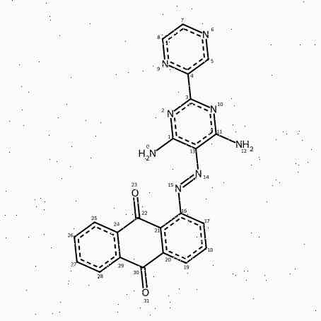 Nc1nc(-c2cnccn2)nc(N)c1/N=N/c1cccc2c1C(=O)c1ccccc1C2=O